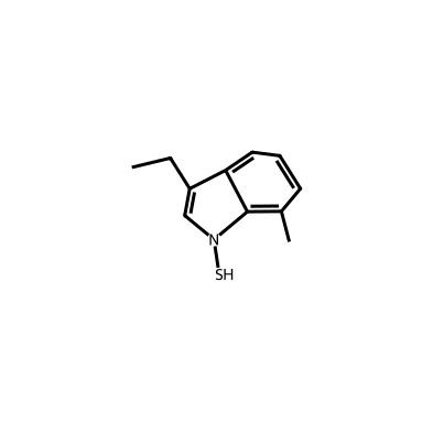 CCc1cn(S)c2c(C)cccc12